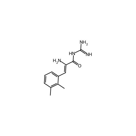 Cc1cccc(/C=C(\N)C(=O)NC(=N)N)c1C